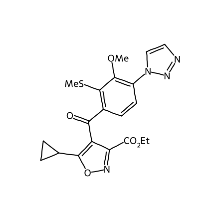 CCOC(=O)c1noc(C2CC2)c1C(=O)c1ccc(-n2ccnn2)c(OC)c1SC